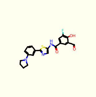 O=Cc1cc(C(=O)Nc2cnc(-c3cccc(N4CCCC4)c3)s2)cc(F)c1O